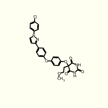 COCCC1(Oc2ccc(Oc3ccc(-c4ccn(-c5ccc(Cl)cc5)n4)cc3)cc2)C(=O)NC(=O)NC1=O